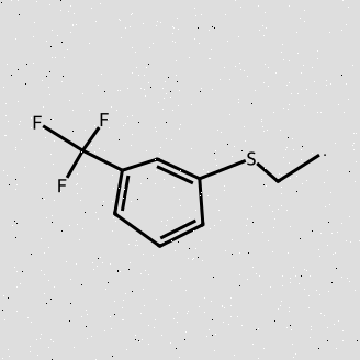 [CH2]CSc1cccc(C(F)(F)F)c1